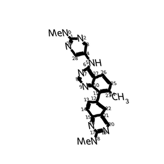 CNc1ncc(Nc2ncnc3c(-c4ccc5nc(NC)ncc5c4)c(C)ccc23)cn1